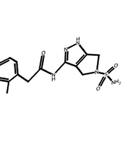 Cc1ccccc1CC(=O)Nc1n[nH]c2c1CN(S(N)(=O)=O)C2